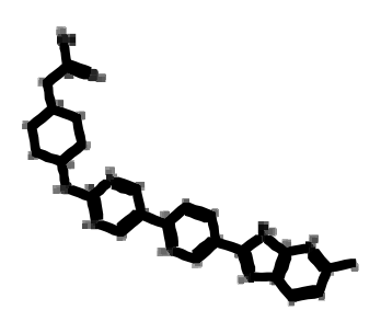 Cc1ccc2nc(-c3ccc(-c4cnc(OC5CCC(CC(=O)O)CC5)nc4)nc3)[nH]c2n1